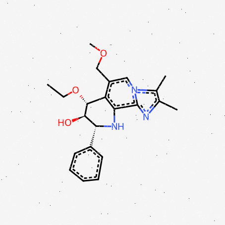 CCO[C@@H]1c2c(COC)cn3c(C)c(C)nc3c2N[C@H](c2ccccc2)[C@H]1O